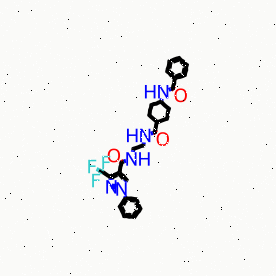 O=C(NC1CCC(C(=O)NCCNC(=O)c2cn(-c3ccccc3)nc2C(F)(F)F)CC1)c1ccccc1